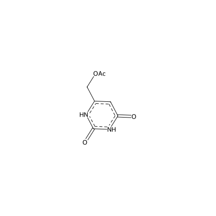 CC(=O)OCc1cc(=O)[nH]c(=O)[nH]1